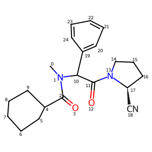 CN(C(=O)C1CCCCC1)C(C(=O)N1CCC[C@H]1C#N)c1ccccc1